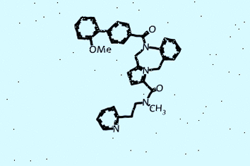 COc1ccccc1-c1ccc(C(=O)N2Cc3ccc(C(=O)N(C)CCc4ccccn4)n3Cc3ccccc32)cc1